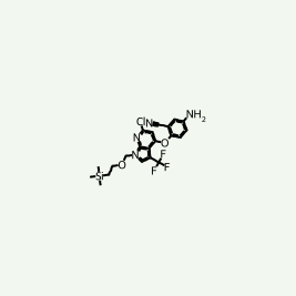 C[Si](C)(C)CCOCn1cc(C(F)(F)F)c2c(Oc3ccc(N)cc3C#N)cc(Cl)nc21